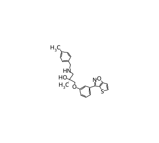 Cc1ccc(CNC[C@](C)(O)COc2cccc(-c3noc4ccsc34)c2)cc1